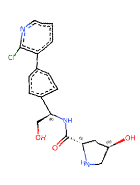 O=C(N[C@@H](CO)c1ccc(-c2cccnc2Cl)cc1)[C@@H]1C[C@@H](O)CN1